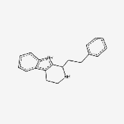 c1ccc(CCC2NCCc3c2[nH]c2ccccc32)cc1